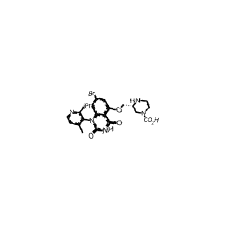 Cc1ccnc(C(C)C)c1-n1c(=O)[nH]c(=O)c2c(OC[C@H]3CN(C(=O)O)CCN3)cc(Br)cc21